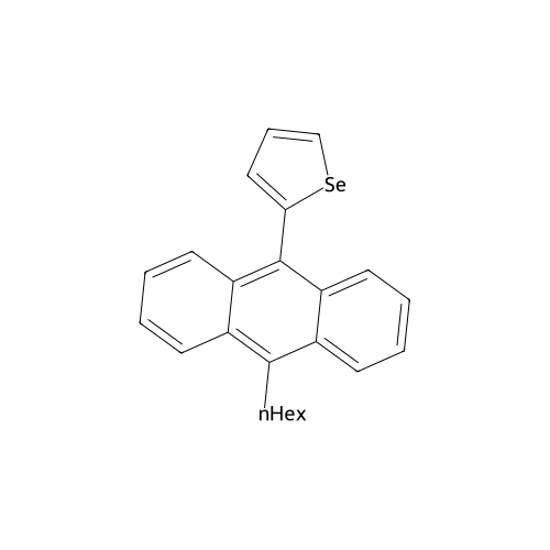 CCCCCCc1c2ccccc2c(-c2ccc[se]2)c2ccccc12